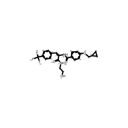 O=C(NCCO)/C(=C\c1ccc(C(F)(F)F)cc1)NC(=O)c1ccc(OCC2CC2)cc1